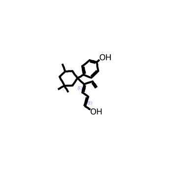 C=C/C(=C\C=C\O)C1(c2ccc(O)cc2)CC(C)CC(C)(C)C1